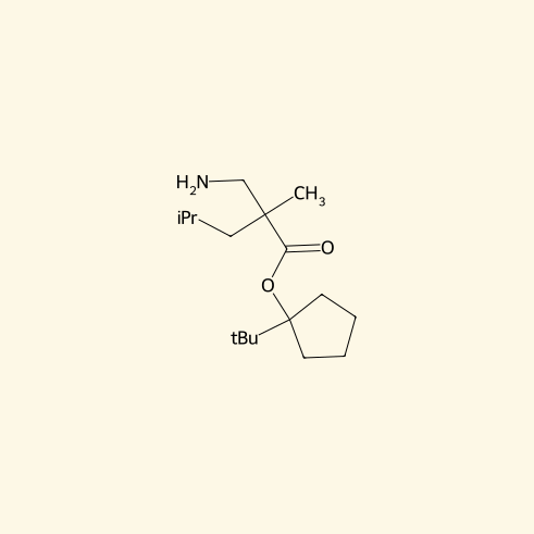 CC(C)CC(C)(CN)C(=O)OC1(C(C)(C)C)CCCC1